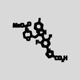 COC(=O)N1CCOC(Cc2c(-c3c(F)cc(-n4ccc(C(=O)O)c4)cc3F)nc3cc(C)ccn23)C1